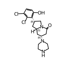 O=C1C[C@H](N2CCNCC2)C[C@@H]2C[C@H](c3c(O)ccc(Cl)c3Cl)CN12